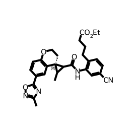 CCOC(=O)CCCc1ccc(C#N)cc1NC(=O)C1C(C)[C@]12CCOc1ccc(-c3nc(C)no3)cc12